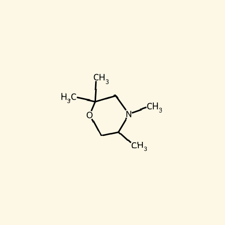 CC1COC(C)(C)CN1C